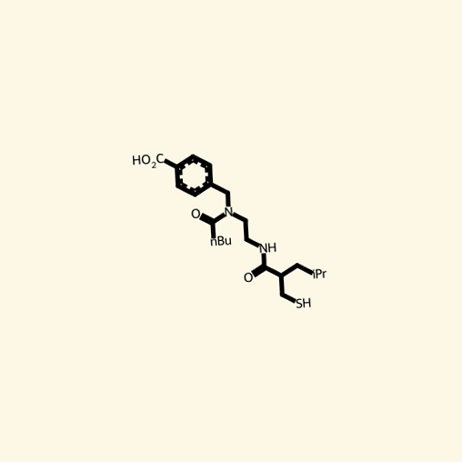 CCCCC(=O)N(CCNC(=O)C(CS)CC(C)C)Cc1ccc(C(=O)O)cc1